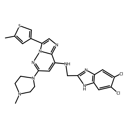 Cc1cc(-c2cnc3c(NCc4nc5cc(Cl)c(Cl)cc5[nH]4)cc(N4CCN(C)CC4)nn23)cs1